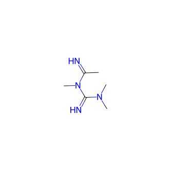 CC(=N)N(C)C(=N)N(C)C